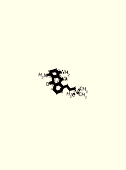 C[N+](C)(C)CCCc1cccc2c1C(=O)c1c(N)ccc(N)c1C2=O